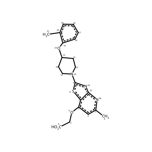 Cc1cc(OCC(=O)O)c2sc(N3CCC(Oc4ccccc4C)CC3)nc2n1